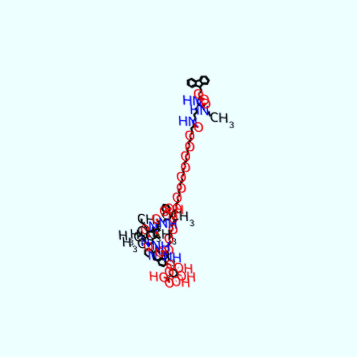 CCCNC(=O)[C@H](CCCCNC(=O)CCOCCOCCOCCOCCOCCOCCOCCOCCOCCOCCOCCOC(=O)Nc1cc(C[N+]2(C)CCCC[C@@H]2C(=O)N[C@H](C(=O)N(C)[C@H](C[C@@H](OCCC)c2nc(C(=O)N[C@@H](Cc3ccccc3)C[C@H](C)C(=O)O)cs2)C(C)C)[C@@H](C)CC)ccc1O[C@@H]1O[C@H](C(=O)O)[C@@H](O)[C@H](O)[C@H]1O)NC(=O)OCC1c2ccccc2-c2ccccc21